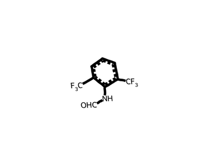 O=CNc1c(C(F)(F)F)cccc1C(F)(F)F